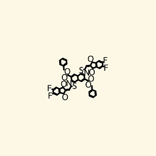 O=C(OCc1ccccc1)C1=CC2c3sc(C=C4C(=O)c5cc(F)c(F)cc5C4=O)nc3C(C(=O)OCc3ccccc3)=CC2c2sc(C=C3C(=O)c4cc(F)c(F)cc4C3=O)nc21